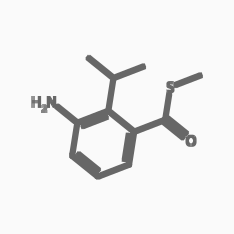 CSC(=O)c1cccc(N)c1C(C)C